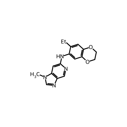 CCc1cc2c(cc1Nc1cc3c(cn1)ncn3C)OCCO2